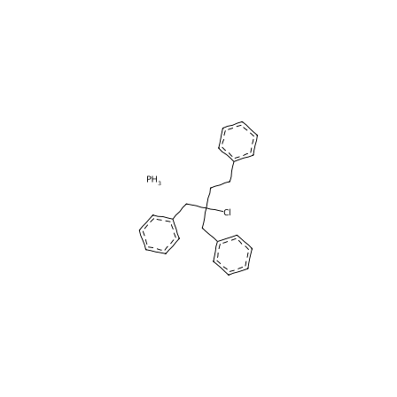 ClC(CCc1ccccc1)(Cc1ccccc1)Cc1ccccc1.P